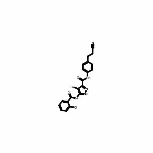 N#CCCc1ccc(NC(=O)c2n[nH]c(NC(=O)c3ccccc3Cl)c2Br)cc1